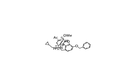 CO[C@]12C3=C[C@@]4(C[C@]31C(C)=O)[C@H]1Cc3ccc(OCc5ccccc5)c5c3[C@@]4(CCN1CC1CC1)[C@H]2O5